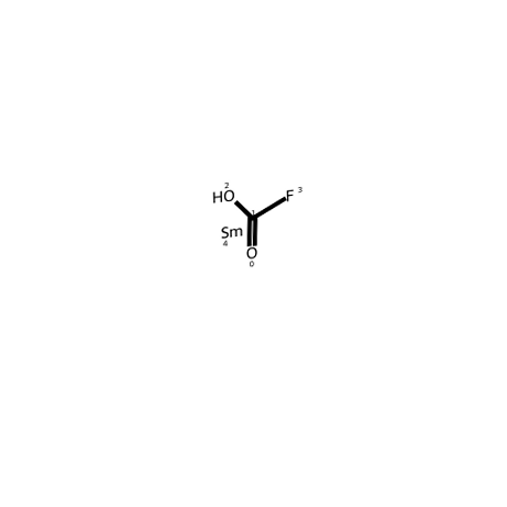 O=C(O)F.[Sm]